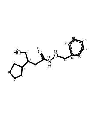 O=C(CC(CO)C1CCCC1)NOCc1ccccc1